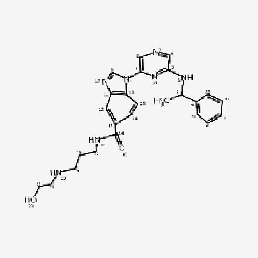 CC(Nc1cncc(-n2cnc3cc(C(=O)NCCCNCCO)ccc32)n1)c1ccccc1